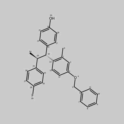 Cc1cc(OCc2ccccc2)ccc1[C@@H](c1ccc(O)cc1)[C@H](C)c1ccc(F)cc1